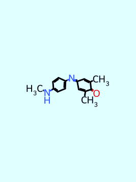 CNc1ccc(N=C2C=C(C)C(=O)C(C)=C2)cc1